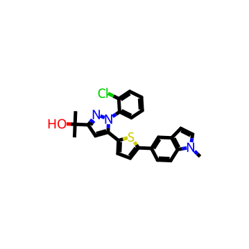 Cn1ccc2cc(-c3ccc(-c4cc(C(C)(C)O)nn4-c4ccccc4Cl)s3)ccc21